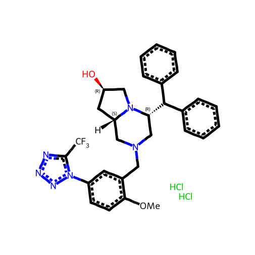 COc1ccc(-n2nnnc2C(F)(F)F)cc1CN1C[C@@H]2C[C@@H](O)CN2[C@H](C(c2ccccc2)c2ccccc2)C1.Cl.Cl